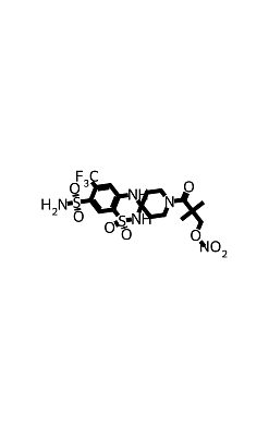 CC(C)(CO[N+](=O)[O-])C(=O)N1CCC2(CC1)Nc1cc(C(F)(F)F)c(S(N)(=O)=O)cc1S(=O)(=O)N2